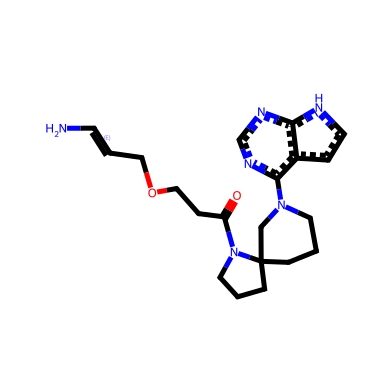 N/C=C/COCCC(=O)N1CCCC12CCCN(c1ncnc3[nH]ccc13)C2